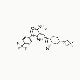 CC1(C)CN([C@H]2CC[C@H](N/C=C(\C(=N)Nc3ccc(C(F)(F)F)cc3)C(N)=O)[C@@H](C#N)C2)C1